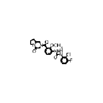 COc1c(NC(=O)Nc2cccc(F)c2Cl)cccc1C(=O)N1CC(=O)N2CCCC2C1